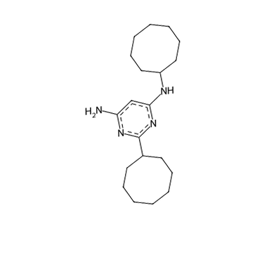 Nc1cc(NC2CCCCCCC2)nc(C2CCCCCCC2)n1